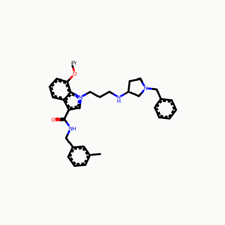 Cc1cccc(CNC(=O)c2cn(CCCNC3CCN(Cc4ccccc4)C3)c3c(OC(C)C)cccc23)c1